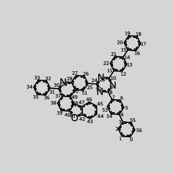 c1ccc(-c2ccc(-c3nc(-c4ccc(-c5ccccc5)cc4)nc(-c4ccc5nc(-c6ccccc6)c6ccc7oc8ccccc8c7c6c5c4)n3)cc2)cc1